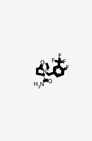 CC[N+]1(Cc2ccc(F)c(C(F)(F)F)c2)C(=O)CC[C@H]1C(N)=O